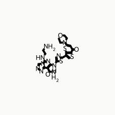 NCCNc1nc(Nc2cnc(-c3csc4c(=O)cc(N5CCOCC5)sc34)s2)c(C(N)=O)c2nncn12